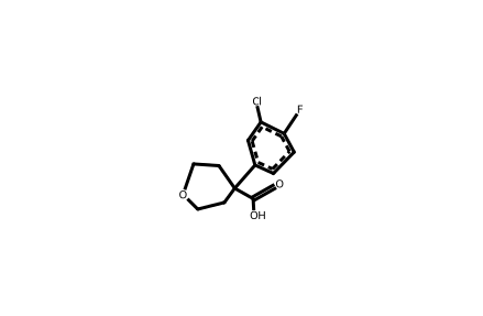 O=C(O)C1(c2ccc(F)c(Cl)c2)CCOCC1